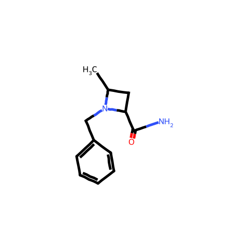 CC1CC(C(N)=O)N1Cc1ccccc1